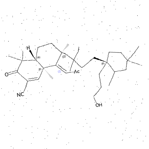 CC(=O)/C=C1/[C@@]2(C)C=C(C#N)C(=O)C(C)(C)[C@@H]2CC[C@@]1(C)C(C)(C)CC[C@@]1(CCCO)CCC(C)(C)CC1C